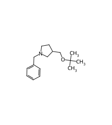 CC(C)(C)OCC1CCN(Cc2ccccc2)C1